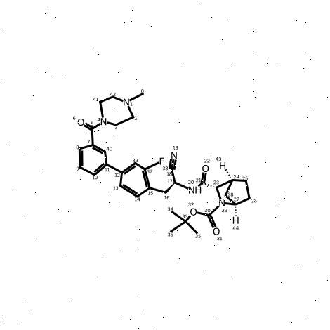 CN1CCN(C(=O)c2cccc(-c3ccc(C[C@@H](C#N)NC(=O)[C@@H]4[C@H]5CC[C@H](C5)N4C(=O)OC(C)(C)C)c(F)c3)c2)CC1